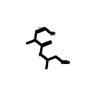 COCC(C)OC(=O)C(C)/C=C\C(C)C